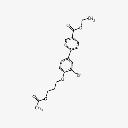 CCOC(=O)c1ccc(-c2ccc(OCCCOC(C)=O)c(Br)c2)cc1